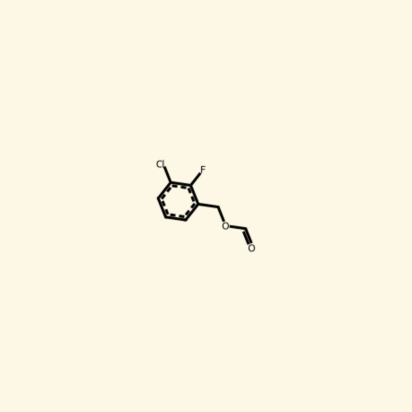 O=COCc1cccc(Cl)c1F